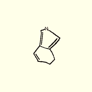 C1=CC2=C[N]C=C2CC1